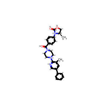 Cc1cc(-c2ccccc2)cnc1N1CCN(C(=O)c2ccc(N3C(=O)OC[C@H]3C)cc2)CC1